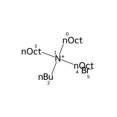 CCCCCCCC[N+](CCCC)(CCCCCCCC)CCCCCCCC.[Br-]